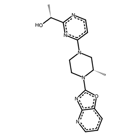 C[C@@H](O)c1nccc(N2CCN(c3nc4ncccc4o3)[C@@H](C)C2)n1